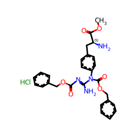 COC(=O)[C@@H](N)Cc1ccc(N(C(=O)OCc2ccccc2)C(N)=NC(=O)OCc2ccccc2)cc1.Cl